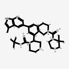 Cc1c[nH]c2ncc(-c3cc4c(c(C5COCCN5C(=O)OC(C)(C)C)c3)CN(C(=O)N3CCOCC3(C)C)CC4)cc12